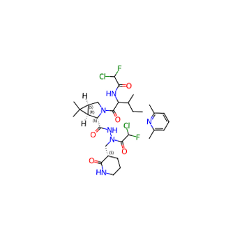 CCC(C)C(NC(=O)C(F)Cl)C(=O)N1C[C@H]2[C@@H]([C@H]1C(=O)NN(C[C@@H]1CCCNC1=O)C(=O)C(F)Cl)C2(C)C.Cc1cccc(C)n1